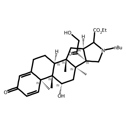 CCCCN1C[C@]2(C(=O)CO)[C@@H](C[C@@]3(C)[C@@H]4CCC5=CC(=O)C=C[C@]5(C)[C@@]4(C)[C@@H](O)C[C@@]32C)C1C(=O)OCC